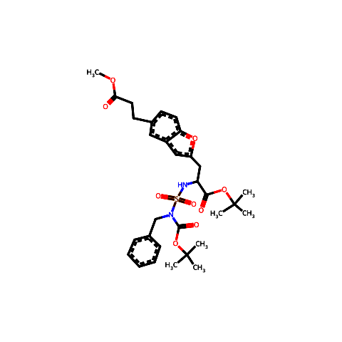 COC(=O)CCc1ccc2oc(CC(NS(=O)(=O)N(Cc3ccccc3)C(=O)OC(C)(C)C)C(=O)OC(C)(C)C)cc2c1